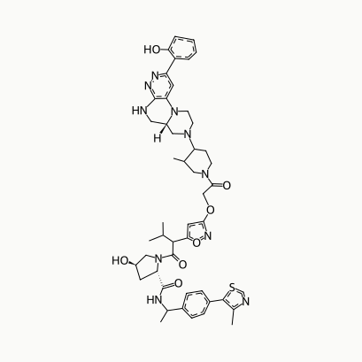 Cc1ncsc1-c1ccc(C(C)NC(=O)[C@@H]2C[C@@H](O)CN2C(=O)C(c2cc(OCC(=O)N3CCC(N4CCN5c6cc(-c7ccccc7O)nnc6NC[C@H]5C4)C(C)C3)no2)C(C)C)cc1